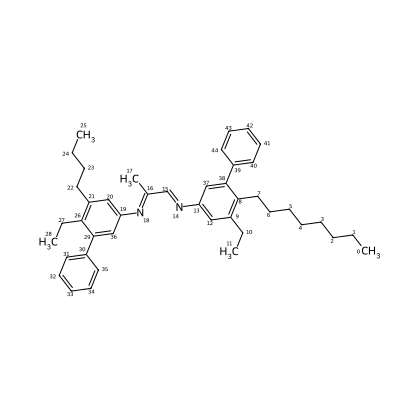 CCCCCCCCc1c(CC)cc(N=CC(C)=Nc2cc(CCCC)c(CC)c(-c3ccccc3)c2)cc1-c1ccccc1